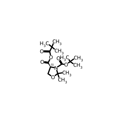 CC(C)(C)OC(=O)N1[C@H](C(=O)OC(=O)C(C)(C)C)COC1(C)C